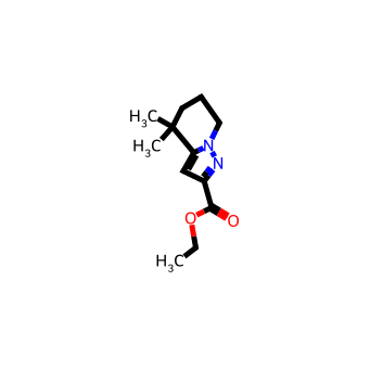 CCOC(=O)c1cc2n(n1)CCCC2(C)C